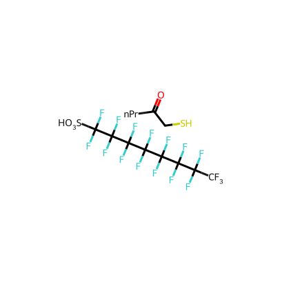 CCCC(=O)CS.O=S(=O)(O)C(F)(F)C(F)(F)C(F)(F)C(F)(F)C(F)(F)C(F)(F)C(F)(F)C(F)(F)F